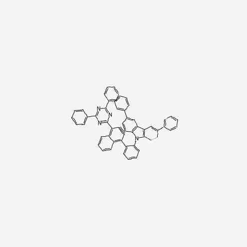 c1c(-c2nc(-c3ccccc3)nc(-c3ccccc3)n2)c2ccccc2c(-c2ccccc2-n2c3c(c4cc(-c5ccccc5)ccc42)C=C(c2ccccc2)CC3)c#1